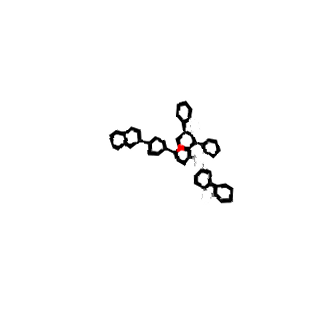 c1ccc(N(c2ccc(-c3ccc(-c4ccc5ccccc5c4)cc3)cc2)c2ccc3oc4ccccc4c3c2)c(-c2cccc3c2oc2ccccc23)c1